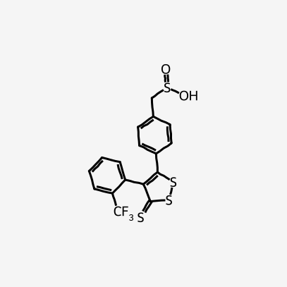 O=S(O)Cc1ccc(-c2ssc(=S)c2-c2ccccc2C(F)(F)F)cc1